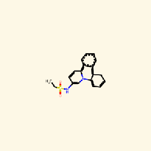 CCS(=O)(=O)NC1=CN2C3=CC=CCC3=c3ccccc3=C2C=C1